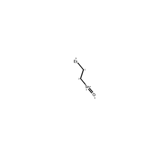 CCC[CH2][Sn+]=[O]